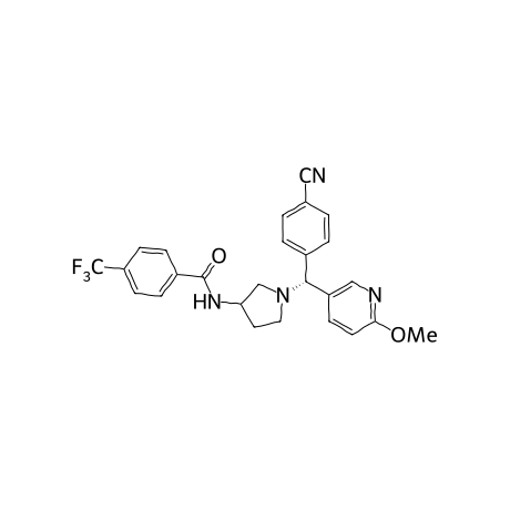 COc1ccc([C@@H](c2ccc(C#N)cc2)N2CCC(NC(=O)c3ccc(C(F)(F)F)cc3)C2)cn1